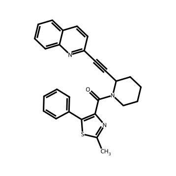 Cc1nc(C(=O)N2CCCCC2C#Cc2ccc3ccccc3n2)c(-c2ccccc2)s1